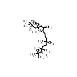 C=C(CC(C)(C)CC(C)(C)C(C)(C)C)N(C)CCCC(C)(C)CCC(C)(C)N(C)C(C)(C)C